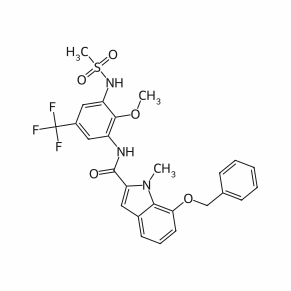 COc1c(NC(=O)c2cc3cccc(OCc4ccccc4)c3n2C)cc(C(F)(F)F)cc1NS(C)(=O)=O